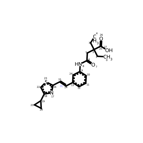 CCC(CC)(CC(=O)Nc1cccc(/C=C/c2nc(C3CC3)cs2)c1)C(=O)O